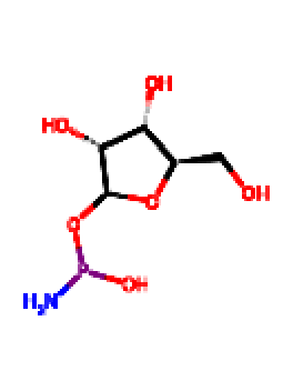 NP(O)OC1O[C@H](CO)[C@@H](O)[C@H]1O